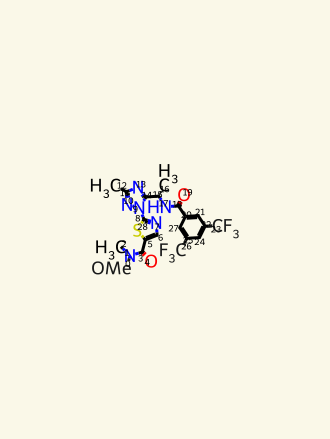 CON(C)C(=O)c1cnc(-n2nc(C)nc2[C@H](C)NC(=O)c2cc(C(F)(F)F)cc(C(F)(F)F)c2)s1